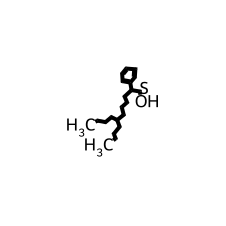 CCCCC(CCCC)CCCCC(C(O)=S)c1ccccc1